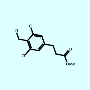 COC(=O)CCc1cc(Cl)c(CCl)c(Cl)c1